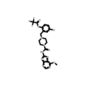 COc1ncnc2sc(NC(=O)N3CCN(Cc4cc(Cl)ccc4OC(=O)C(F)(F)F)CC3)nc12